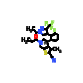 C=CC(=O)N1Cc2sc(C#N)c(C)c2[C@H](c2cccc(F)c2-c2cn(CC)nc2C(F)(F)F)C1